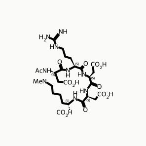 CNCCCC[C@H](NC(=O)[C@H](CC(=O)O)NC(=O)[C@H](CC(=O)O)NC(=O)[C@H](CCCNC(=N)N)NC(=O)[C@H](CC(=O)O)NC(C)=O)C(=O)O